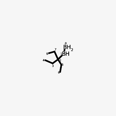 BBC(CC)(CC)CC